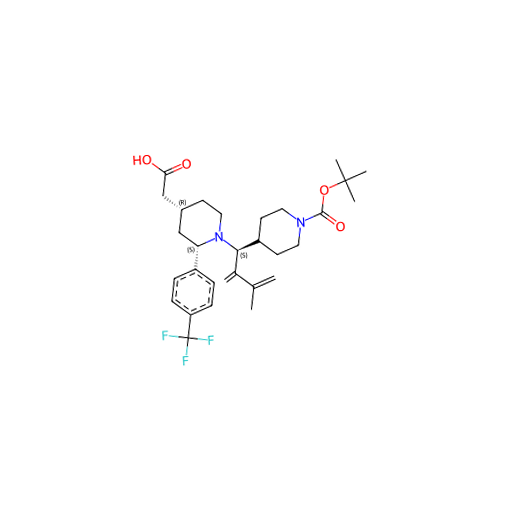 C=C(C)C(=C)[C@H](C1CCN(C(=O)OC(C)(C)C)CC1)N1CC[C@@H](CC(=O)O)C[C@H]1c1ccc(C(F)(F)F)cc1